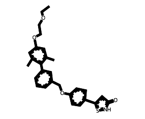 CCOCCOc1cc(C)c(-c2cccc(COc3ccc(-c4cc(=O)[nH]s4)cc3)c2)c(C)c1